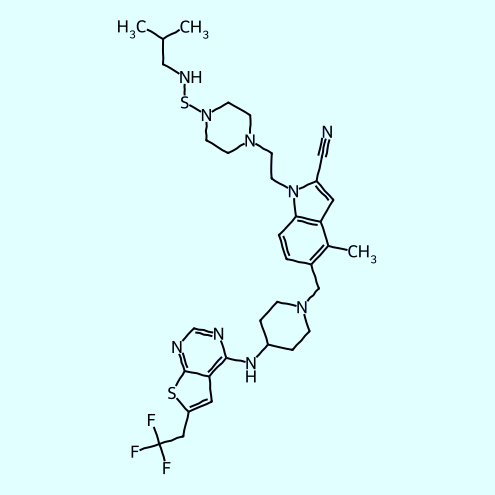 Cc1c(CN2CCC(Nc3ncnc4sc(CC(F)(F)F)cc34)CC2)ccc2c1cc(C#N)n2CCN1CCN(SNCC(C)C)CC1